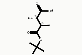 C[C@H](C(=O)O)[C@@H](C)C(=O)OC(C)(C)C